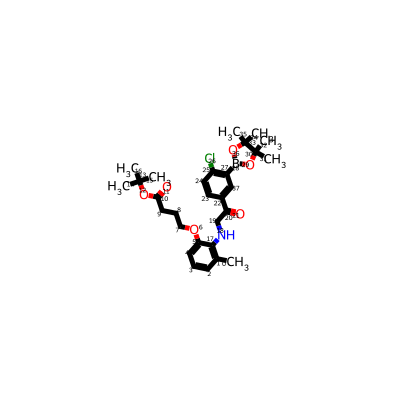 Cc1cccc(OCCCC(=O)OC(C)(C)C)c1NCC(=O)c1ccc(Cl)c(B2OC(C)(C)C(C)(C)O2)c1